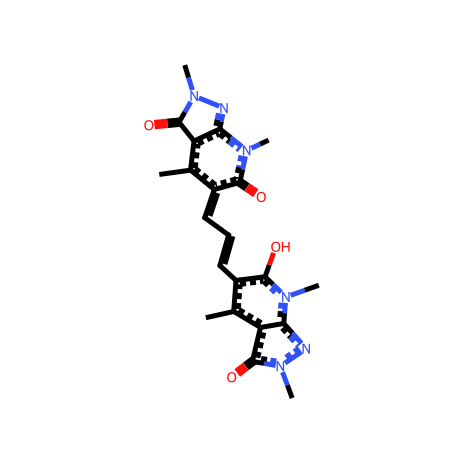 Cc1c(C=CC=c2c(C)c3c(n(C)c2=O)=NN(C)C3=O)c(O)n(C)c2nn(C)c(=O)c1-2